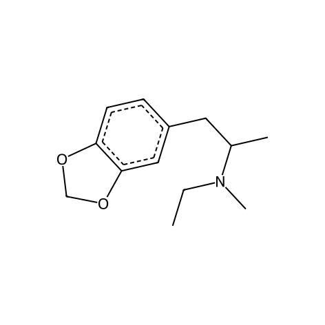 CCN(C)C(C)Cc1ccc2c(c1)OCO2